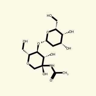 CC(=O)N[C@]1(O)[CH]O[C@H](CO)[C@@H](O[C@H]2C[C@@H](O)[C@@H](O)[C@@H](CO)O2)[C@@H]1O